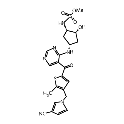 COS(=O)(=O)N[C@@H]1C[C@@H](Nc2ncncc2C(=O)c2cc(Cn3ccc(C#N)c3)c(C)s2)C[C@@H]1O